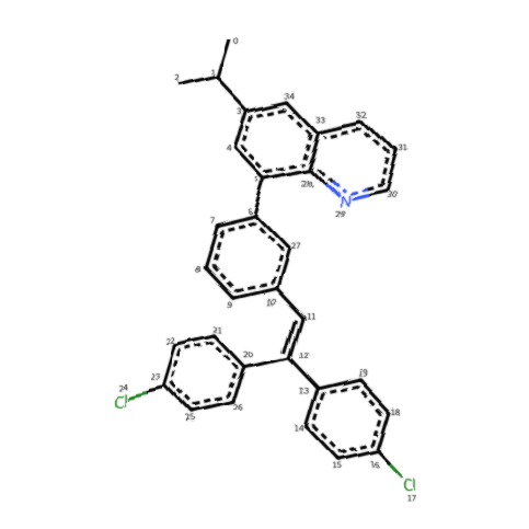 CC(C)c1cc(-c2cccc(C=C(c3ccc(Cl)cc3)c3ccc(Cl)cc3)c2)c2ncccc2c1